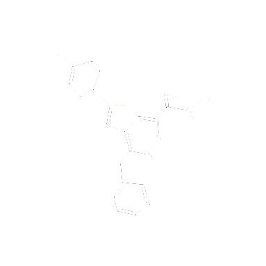 CN(C)C(=O)c1nnc(Cc2cccnc2)c2cc(-c3ccc(Cl)cc3)sc12